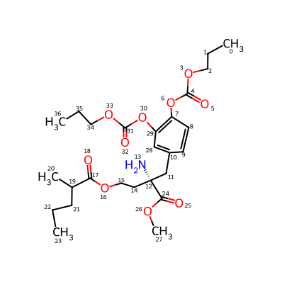 CCCOC(=O)Oc1ccc(C[C@](N)(CCOC(=O)C(C)CCC)C(=O)OC)cc1OC(=O)OCCC